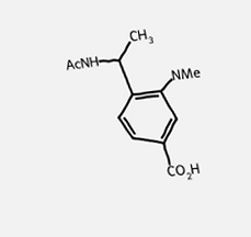 CNc1cc(C(=O)O)ccc1C(C)NC(C)=O